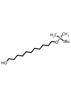 CC(C)(C)[Si](C)(C)OCCCCCCCCCCCO